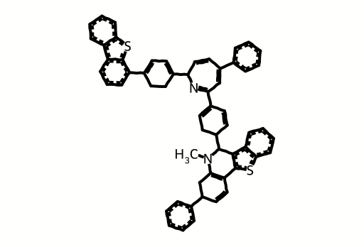 CN1C2=C(C=CC(c3ccccc3)C2)c2sc3ccccc3c2C1C1C=CC(C2=NC(C3=CC=C(c4cccc5c4sc4ccccc45)CC3)C=CC(c3ccccc3)=C2)=CC1